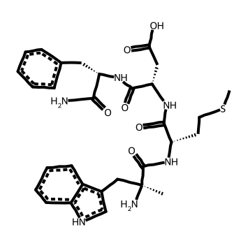 CSCC[C@H](NC(=O)[C@@](C)(N)Cc1c[nH]c2ccccc12)C(=O)N[C@@H](CC(=O)O)C(=O)N[C@@H](Cc1ccccc1)C(N)=O